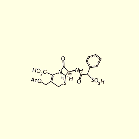 CC(=O)OCC1=C(C(=O)O)N2C(=O)[C@@H](NC(=O)C(c3ccccc3)S(=O)(=O)O)[C@H]2SC1